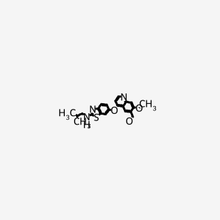 COc1cc2nccc(Oc3ccc4nc(NCC(C)C)sc4c3)c2cc1C=O